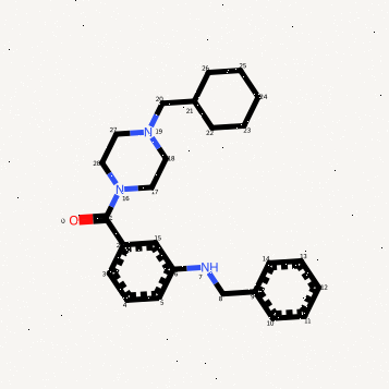 O=C(c1cccc(NCc2ccccc2)c1)N1CCN(CC2CCCCC2)CC1